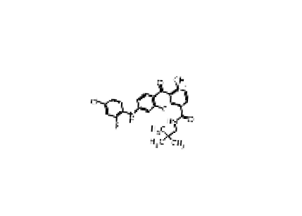 Cc1ccc(C(=O)NCC(C)(C)C)cc1C(=O)c1ccc(Nc2ccc(Cl)cc2F)cc1Cl